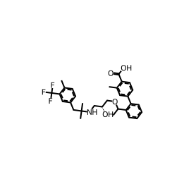 Cc1cc(-c2ccccc2C(C)OC[C@H](O)CNC(C)(C)Cc2ccc(C)c(C(F)(F)F)c2)ccc1C(=O)O